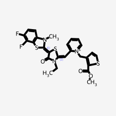 CCn1c(=O)/c(=C2\Sc3c(ccc(F)c3F)N2C)s/c1=C\c1cccc[n+]1Cc1ccsc1C(=O)OC